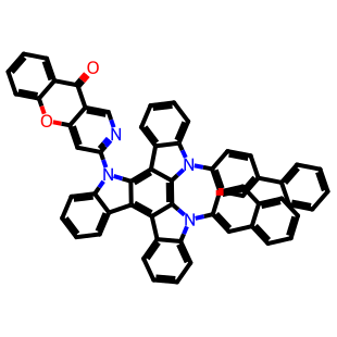 O=c1c2ccccc2oc2cc(-n3c4ccccc4c4c5c6ccccc6n(-c6ccc7ccccc7c6)c5c5c(c6ccccc6n5-c5ccc(-c6ccccc6)cc5)c43)ncc12